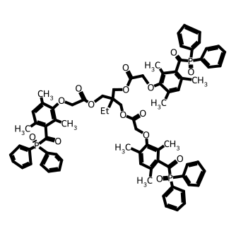 CCC(COC(=O)COc1c(C)cc(C)c(C(=O)P(=O)(c2ccccc2)c2ccccc2)c1C)(COC(=O)COc1c(C)cc(C)c(C(=O)P(=O)(c2ccccc2)c2ccccc2)c1C)COC(=O)COc1c(C)cc(C)c(C(=O)P(=O)(c2ccccc2)c2ccccc2)c1C